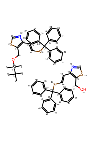 CC(C)(C)[Si](C)(C)OCc1scnc1C=CSC(c1ccccc1)(c1ccccc1)c1ccccc1.OCc1scnc1C=CSC(c1ccccc1)(c1ccccc1)c1ccccc1